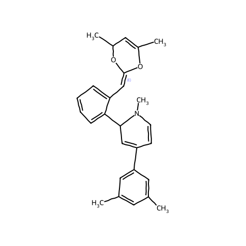 CC1=CC(C)O/C(=C\c2ccccc2C2C=C(c3cc(C)cc(C)c3)C=CN2C)O1